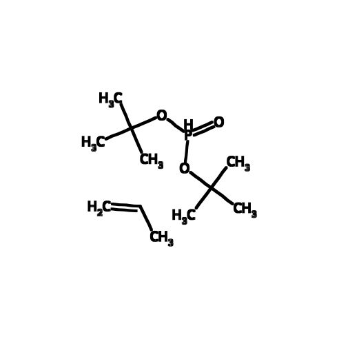 C=CC.CC(C)(C)O[PH](=O)OC(C)(C)C